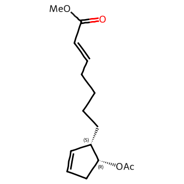 COC(=O)C=CCCCC[C@H]1C=CC[C@H]1OC(C)=O